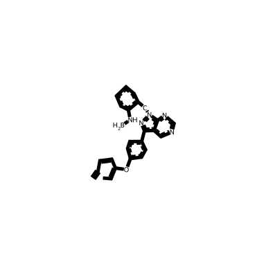 BNc1ccccc1Cn1nc(-c2ccc(OC(/C=C\C#C)=C/C)cc2)c2cncnc21